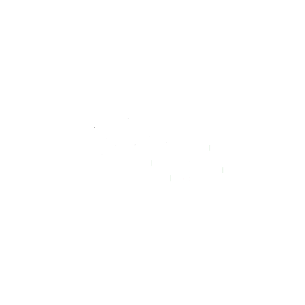 OC1(C(F)(F)F)OCC(C2CC3CC2C2C4CCC(C4)C32)C1(F)F